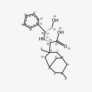 CC1CC2CC(C1)CC(C)([C@H](N[C@@H](CO)c1ccccc1)C(=O)O)C2